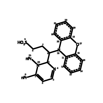 CCCC1=CC=NC(C(CCS(=O)(=O)O)N2c3ccccc3Oc3ccccc32)N1CCC